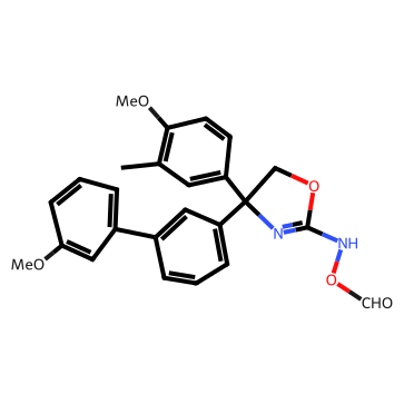 COc1cccc(-c2cccc(C3(c4ccc(OC)c(C)c4)COC(NOC=O)=N3)c2)c1